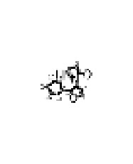 O=c1cc[nH]n1-c1ccoc1-c1ccccc1